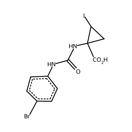 O=C(Nc1ccc(Br)cc1)NC1(C(=O)O)CC1I